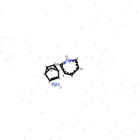 C1=CC2=CC=C1C2.N.c1ccncc1